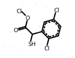 O=C(OCl)C(S)c1cc(Cl)ccc1Cl